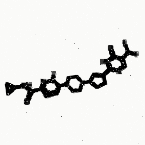 O=C(NC1CC1)c1ccc(N2CCN(C3C=C(c4ncc(C(F)F)c(=O)[nH]4)CC3)CC2)c(F)n1